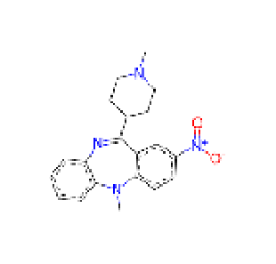 CN1CCC(C2=Nc3ccccc3N(C)c3ccc([N+](=O)[O-])cc32)CC1